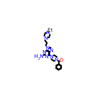 CCN1CCN(CCCn2cnc3c(N4CCN(C(=O)c5ccccc5)CC4)nc(N)nc32)CC1